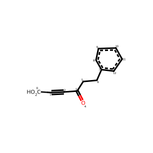 O=C(O)C#CC(=O)CCc1ccccc1